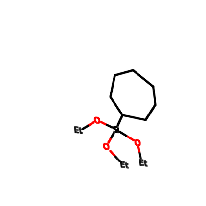 CCO[Si](OCC)(OCC)C1CCCCCC1